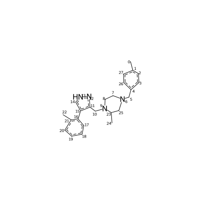 Cc1ccc(CN2CCN(Cc3n[nH]cc3-c3ccccc3C)C(C)C2)cc1